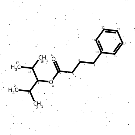 CC(C)C(OC(=O)CCCc1ccccc1)C(C)C